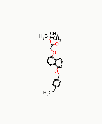 CCc1ccc(COc2cccc3c(OCC(=O)OC(C)(C)C)cccc23)cc1